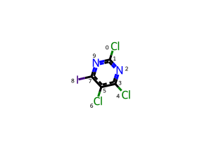 Clc1nc(Cl)c(Cl)c(I)n1